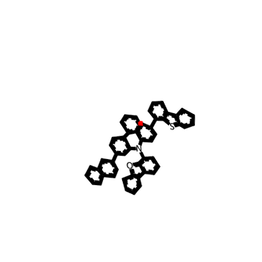 c1ccc(-c2ccc(-c3ccc4ccccc4c3)cc2N(c2ccc(-c3cccc4c3sc3ccccc34)cc2)c2cccc3c2oc2ccccc23)cc1